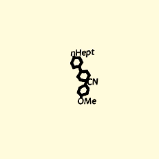 CCCCCCCC1CCC(C2CCC(C#N)(C3CCC(OC)CC3)CC2)CC1